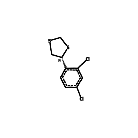 Clc1ccc([C@@H]2CSCS2)c(Cl)c1